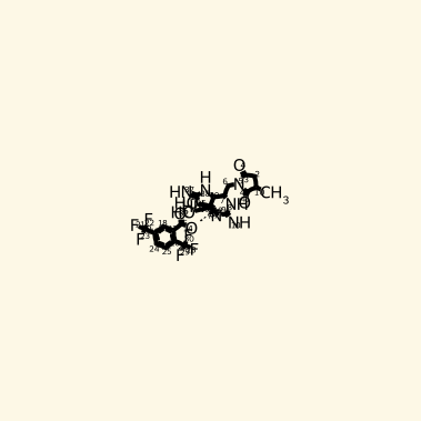 CC1CC(=O)N(CC2NC(=N)N3C[C@H](OC(=O)c4cc(C(F)(F)F)ccc4C(F)(F)F)C(O)(O)C34NC(=N)NC24)C1=O